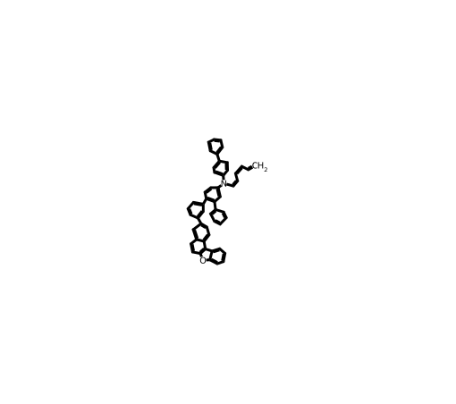 C=C/C=C\C=C/N(c1ccc(-c2ccccc2)cc1)c1ccc(-c2cccc(-c3ccc4c(ccc5oc6ccccc6c54)c3)c2)c(-c2ccccc2)c1